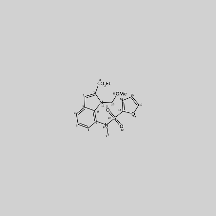 CCOC(=O)c1cc2cccc(N(C)S(=O)(=O)c3ccco3)c2n1COC